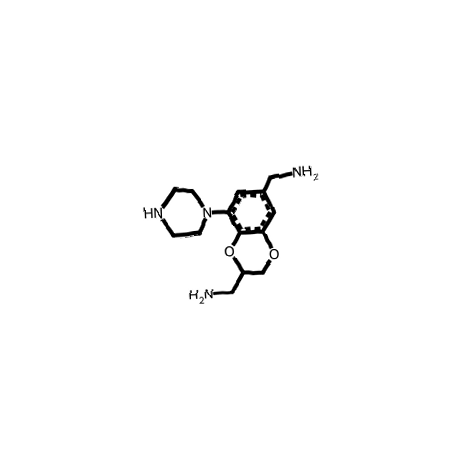 NCc1cc2c(c(N3CCNCC3)c1)OC(CN)CO2